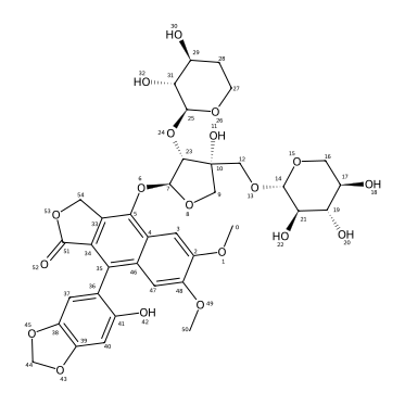 COc1cc2c(O[C@@H]3OC[C@](O)(CO[C@@H]4OC[C@@H](O)[C@H](O)[C@H]4O)[C@H]3O[C@@H]3OCC[C@H](O)[C@H]3O)c3c(c(-c4cc5c(cc4O)OCO5)c2cc1OC)C(=O)OC3